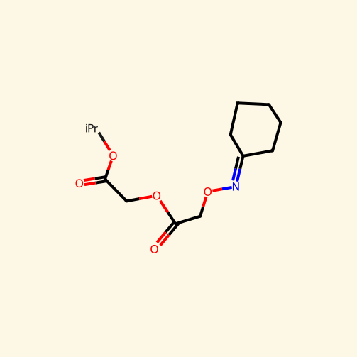 CC(C)OC(=O)COC(=O)CON=C1CCCCC1